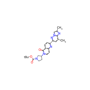 Cc1cn2nc(-c3ccc4c(=O)n([C@H]5CCN(C(=O)OC(C)(C)C)C5)ccc4n3)cc(C)c2n1